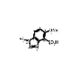 COc1ccc2c(nn[n]2[Ag])c1S(=O)(=O)O